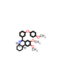 COc1ccc(Oc2cccc(C3=N[C@H]4CCCC[C@H]4c4cc(OC)c(OC)cc43)c2)cc1